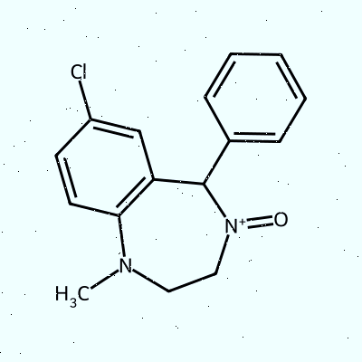 CN1CC[N+](=O)C(c2ccccc2)c2cc(Cl)ccc21